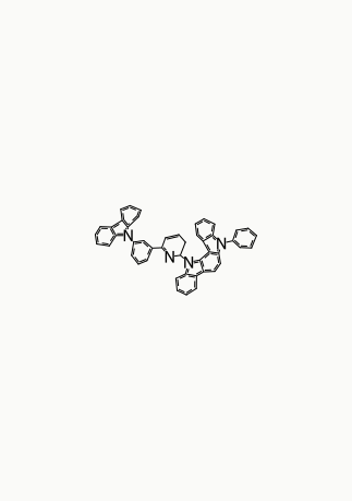 C1=CC(c2cccc(-n3c4ccccc4c4ccccc43)c2)=NC(n2c3ccccc3c3ccc4c(c5ccccc5n4-c4ccccc4)c32)C1